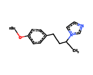 CCCCOc1ccc(CCC(C)n2ccnc2)cc1